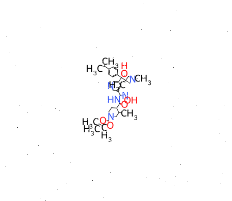 CC(C)c1ccc(C(O)(c2cncc(C(=NO)NC(=O)C3CCN(C(=O)OC(C)(C)C)CC3C)c2)C2(C)CN(C)C2)cc1